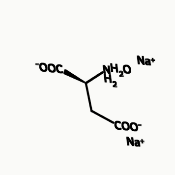 N[C@@H](CC(=O)[O-])C(=O)[O-].O.[Na+].[Na+]